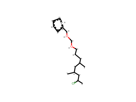 CC(Cl)CC(C)CC(C)CCCOCOCc1ccccc1